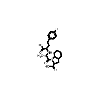 C[C@H](NC(CCc1ccc(Cl)cc1)C(=O)O)C(=O)N1C(C(=O)O)CC2CCCCC21